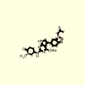 COc1nc(NC2CCC(=O)N(C)C2)nc2[nH]cc(-c3ccc4nnn(CC(F)F)c4c3)c12